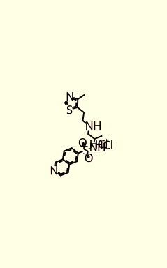 Cc1ncsc1CCNCC(C)NS(=O)(=O)c1ccc2cnccc2c1.Cl.Cl